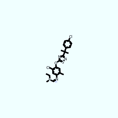 CCN(C)/C=N\c1cc(Cl)c(Oc2nc(C(C)(C)c3ccc(Cl)cc3)ns2)cc1C